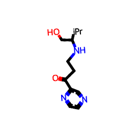 CC(C)C(CO)NCCC(=O)c1cnccn1